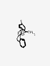 C=C(SC1(CC)CCCc2ccccc21)c1cc(F)ccc1F